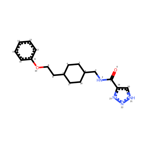 O=C(NCC1CCC(CCOc2ccccc2)CC1)c1c[nH]nn1